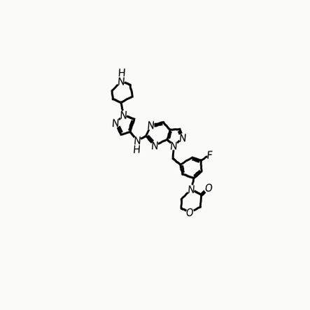 O=C1COCCN1c1cc(F)cc(Cn2ncc3cnc(Nc4cnn(C5CCNCC5)c4)nc32)c1